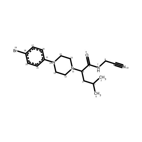 CC(C)CC(C(=O)NCC#N)N1CCN(c2ccc(Br)cc2)CC1